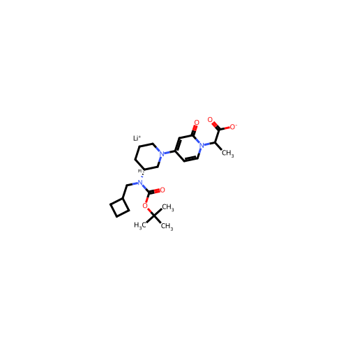 CC(C(=O)[O-])n1ccc(N2CCC[C@@H](N(CC3CCC3)C(=O)OC(C)(C)C)C2)cc1=O.[Li+]